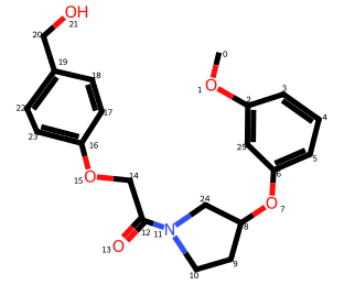 COc1cccc(OC2CCN(C(=O)COc3ccc(CO)cc3)C2)c1